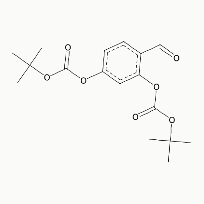 CC(C)(C)OC(=O)Oc1ccc(C=O)c(OC(=O)OC(C)(C)C)c1